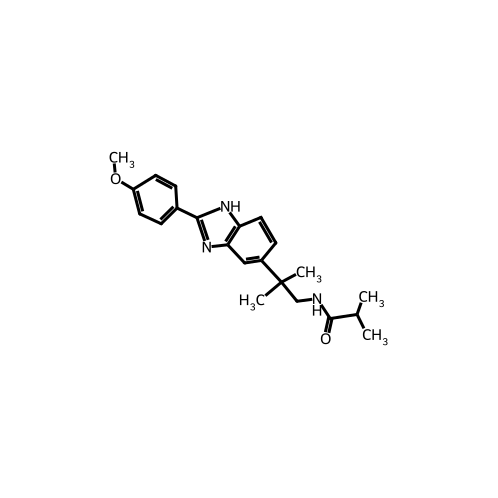 COc1ccc(-c2nc3cc(C(C)(C)CNC(=O)C(C)C)ccc3[nH]2)cc1